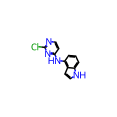 Clc1nccc(Nc2cccc3[nH]ccc23)n1